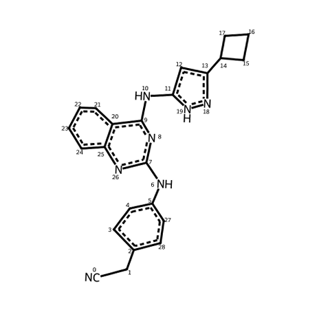 N#CCc1ccc(Nc2nc(Nc3cc(C4CCC4)n[nH]3)c3ccccc3n2)cc1